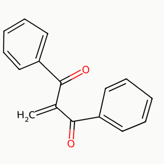 C=C(C(=O)c1ccccc1)C(=O)c1ccccc1